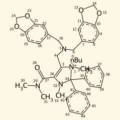 CCCC[N+]1(C)C(CN(Cc2ccc3c(c2)OCO3)Cc2ccc3c(c2)OCO3)=C(C(=O)N(C)C)N(C)C1(c1ccccc1)c1ccccc1